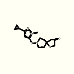 Cn1nc(C2CC2)cc1SN1CCC2(CC1)CC(=O)CO2